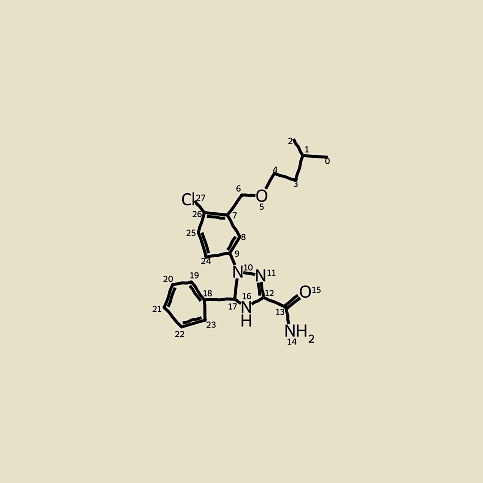 CC(C)CCOCc1cc(N2N=C(C(N)=O)NC2c2ccccc2)ccc1Cl